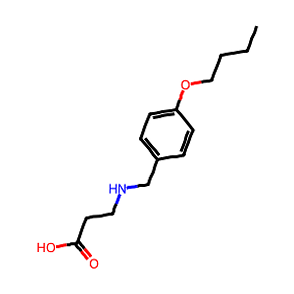 CCCCOc1ccc(CNCCC(=O)O)cc1